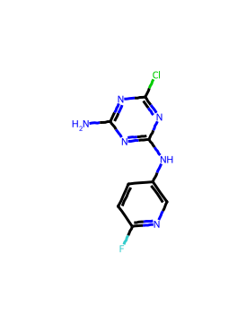 Nc1nc(Cl)nc(Nc2ccc(F)nc2)n1